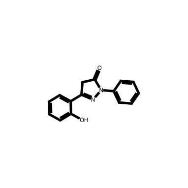 O=C1CC(c2ccccc2O)=NN1c1ccccc1